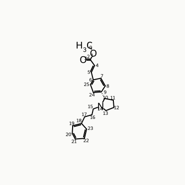 COC(=O)/C=C/c1ccc([C@@H]2CCCN2CCCc2ccccc2)cc1